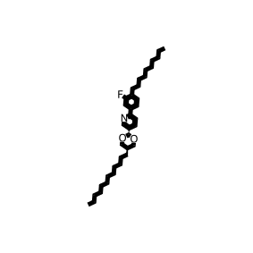 CCCCCCCCCCCC[C@H]1CO[C@H](c2ccc(-c3ccc(CCCCCCCCCC)c(F)c3)nc2)OC1